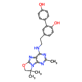 Cc1nc(NCCc2ccc(O)c(-c3ccc(O)cc3)c2)c2nc3n(c2n1)C(C)(C)CO3